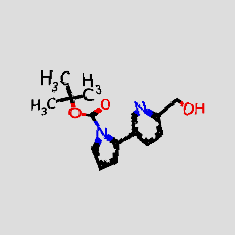 CC(C)(C)OC(=O)n1cccc1-c1ccc(CO)nc1